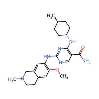 COc1cc2c(cc1Nc1ncc(C(N)=O)c(N[C@H]3CC[C@H](C)CC3)n1)CN(C)CC2